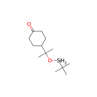 CC(C)(C)[SiH2]OC(C)(C)C1CCC(=O)CC1